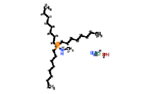 Br.CCCCCCCC[PH](CCCCCCCC)(CCCCCCCC)NC.Cl.N